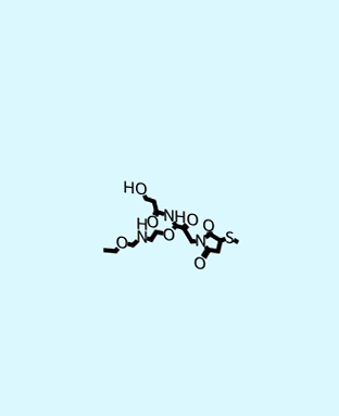 CCOCNCCOC(NC(=O)CCO)C(=O)CN1C(=O)CC(SC)C1=O